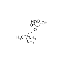 CCC(C)(CC)CCCOC(CC(=O)O)C(=O)O